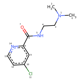 CN(C)CCNC(=O)c1cc(Cl)ccn1